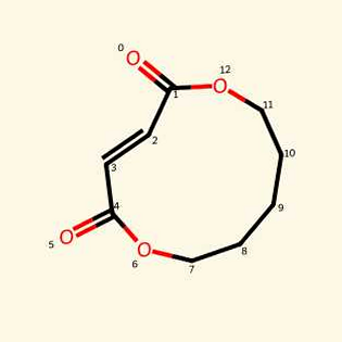 O=C1/C=C/C(=O)OCCCCCO1